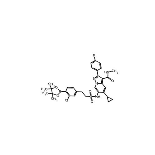 CNC(=O)c1c(-c2ccc(F)cc2)nn2cc(NS(=O)(=O)CCc3ccc(B4OC(C)(C)C(C)(C)O4)c(Cl)c3)c(C3CC3)cc12